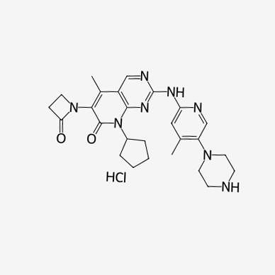 Cc1cc(Nc2ncc3c(C)c(N4CCC4=O)c(=O)n(C4CCCC4)c3n2)ncc1N1CCNCC1.Cl